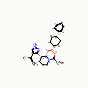 C=C(C)c1c[nH]nc1[C@H]1CCCN(C(=O)OC)[C@H]1CO[C@H]1CC[C@@H](c2ccccc2)CC1